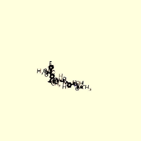 CCOC(=O)/C(O)=C/C(=O)c1cccc(CNC(=O)CNC(=O)CN(c2cc3oc(-c4ccc(F)cc4)c(C(=O)NC)c3cc2C2CC2)S(C)(=O)=O)c1